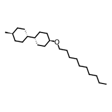 CCCCCCCCCCO[C@H]1CC[C@H]([C@H]2CC[C@H](C)CC2)CC1